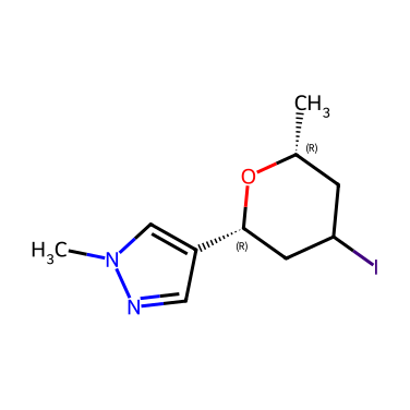 C[C@@H]1CC(I)C[C@H](c2cnn(C)c2)O1